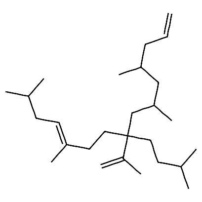 C=CCC(C)CC(C)CC(CCC(C)=CCC(C)C)(CCC(C)C)C(=C)C